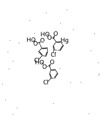 O=C(OO)c1cccc(Cl)c1.O=C(OO)c1cccc(Cl)c1.O=C(OO)c1cccc(Cl)c1.[Hg]